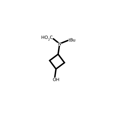 CC(C)(C)N(C(=O)O)C1CC(O)C1